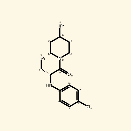 CC(C)C[C@@H](Nc1ccc(Cl)cc1)C(=O)N1CCC(C(C)C)CC1